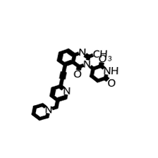 Cc1nc2cccc(C#Cc3ccc(CN4CCCCC4)cn3)c2c(=O)n1C1CCC(=O)NC1=O